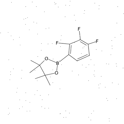 CC1(C)OB(c2ccc(F)c(F)c2F)OC1(C)C